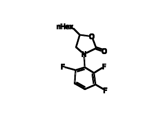 CCCCCCC1CN(c2c(F)ccc(F)c2F)C(=O)O1